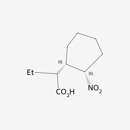 CCC(C(=O)O)[C@@H]1CCCC[C@@H]1[N+](=O)[O-]